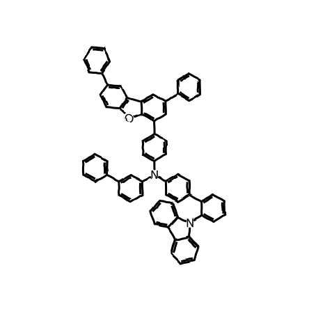 c1ccc(-c2cccc(N(c3ccc(-c4ccccc4-n4c5ccccc5c5ccccc54)cc3)c3ccc(-c4cc(-c5ccccc5)cc5c4oc4ccc(-c6ccccc6)cc45)cc3)c2)cc1